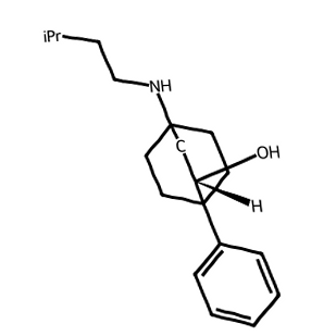 CC(C)CCNC12CCC(c3ccccc3)(CC1)[C@@H](O)C2